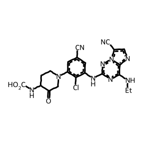 CCNc1nc(Nc2cc(C#N)cc(N3CCC(NC(=O)O)C(=O)C3)c2Cl)nn2c(C#N)cnc12